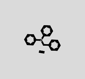 C=C.c1ccc(CN(c2ccccc2)c2ccccc2)cc1